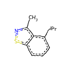 Cc1nsc2cccc(C(C)C)c12